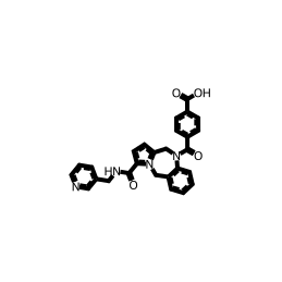 O=C(O)c1ccc(C(=O)N2Cc3ccc(C(=O)NCc4cccnc4)n3Cc3ccccc32)cc1